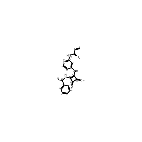 C=CC(=O)Nc1cc(Nc2c(N[C@H](C)c3ccccc3)c(=O)c2=O)ccn1